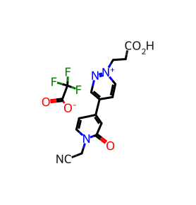 N#CCn1ccc(-c2cc[n+](CCC(=O)O)nc2)cc1=O.O=C([O-])C(F)(F)F